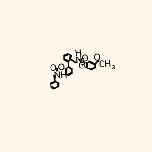 CC(=O)c1cccc(S(=O)(=O)NCc2ccccc2-c2ccccc2OC(=O)NCc2ccccc2)c1